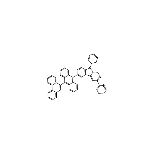 C1=CCC(n2c3ccc(-c4c5ccccc5c(-c5cc6ccccc6c6ccccc56)c5ccccc45)cc3c3cc(-c4ccccn4)ncc32)C=C1